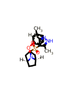 Cc1cccc(O[C@@H]2C[C@H]3CC[C@@H](C2)N3CS(=O)(=O)c2c(C)n[nH]c2C)c1